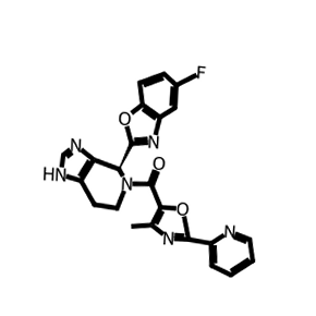 Cc1nc(-c2ccccn2)oc1C(=O)N1CCc2[nH]cnc2[C@H]1c1nc2cc(F)ccc2o1